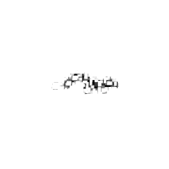 O=CC1CN(Cc2ccc3cc(Cl)ccc3c2)CCN1Cc1cc2cnccc2[nH]1